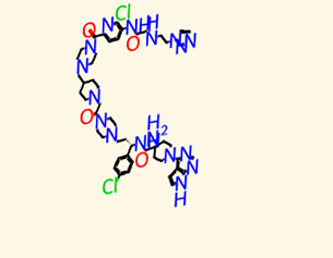 NC1(C(=O)N[C@@H](CCN2CCN(C(=O)CN3CCC(CN4CCN(C(=O)c5ccc(NC(=O)CNCCn6ccnn6)c(Cl)n5)CC4)CC3)CC2)c2ccc(Cl)cc2)CCN(c2ncnc3[nH]ccc23)CC1